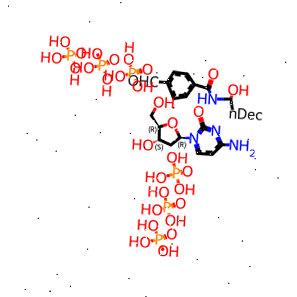 CCCCCCCCCCC(O)NC(=O)c1ccc(C=O)cc1.Nc1ccn([C@H]2C[C@H](O)[C@@H](CO)O2)c(=O)n1.O=P(O)(O)O.O=P(O)(O)O.O=P(O)(O)O.O=P(O)(O)O.O=P(O)(O)O.O=P(O)(O)O